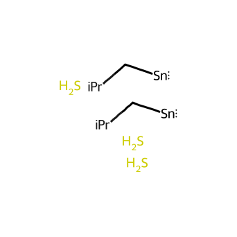 CC(C)[CH2][Sn].CC(C)[CH2][Sn].S.S.S